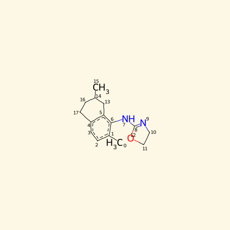 Cc1ccc2c(c1NC1=NCCO1)CC(C)CC2